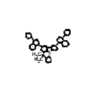 CC1(C)c2ccccc2-n2c3ccc(-c4ccc(-c5ccccc5)c5ccccc45)cc3c3cc(-c4ccc(-c5ccccc5)c5ccccc45)cc1c32